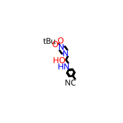 CC(C)(C)OC(=O)N1CCN(CC(O)CNc2ccc(CC#N)cc2)CC1